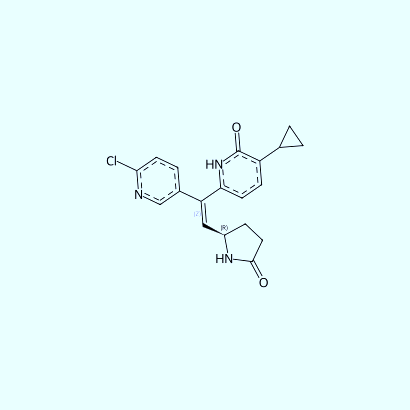 O=C1CC[C@H](/C=C(/c2ccc(Cl)nc2)c2ccc(C3CC3)c(=O)[nH]2)N1